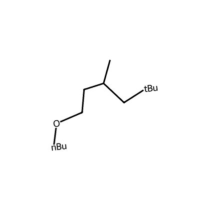 CCCCOCCC(C)CC(C)(C)C